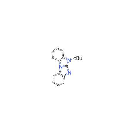 CC(C)(C)n1c2ccccc2n2c3ccccc3nc12